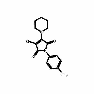 Cc1ccc(N2C(=O)C(Cl)=C(N3CCCCC3)C2=O)cc1